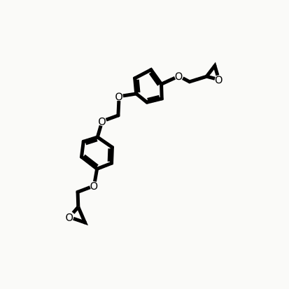 c1cc(OCC2CO2)ccc1OCOc1ccc(OCC2CO2)cc1